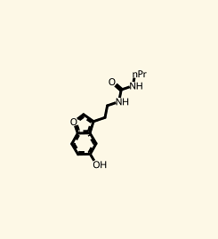 CCCNC(=O)NCCc1coc2ccc(O)cc12